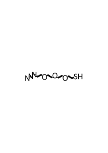 [N-]=[N+]=NCCOCCOCCOCCS